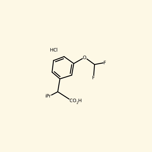 CC(C)C(C(=O)O)c1cccc(OC(F)F)c1.Cl